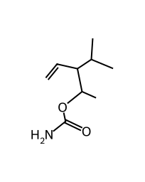 C=CC(C(C)C)C(C)OC(N)=O